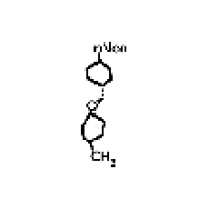 CCCCCCCCC[C@H]1CC[C@H](CO[C@H]2CC[C@H](C)CC2)CC1